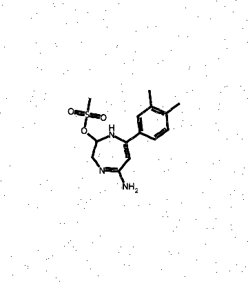 Cc1ccc(C2=CC(N)=NCC(OS(C)(=O)=O)N2)cc1C